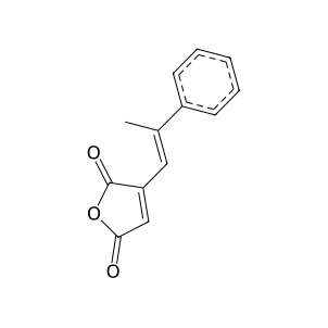 CC(=CC1=CC(=O)OC1=O)c1ccccc1